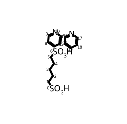 O=S(=O)(O)CCCCCS(=O)(=O)O.c1ccncc1.c1ccncc1